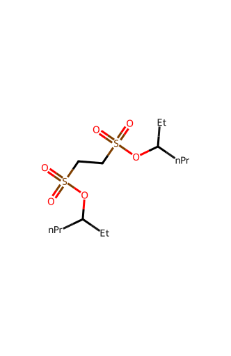 CCCC(CC)OS(=O)(=O)CCS(=O)(=O)OC(CC)CCC